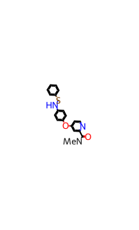 CNC(=O)c1cc(Oc2ccc(NSc3ccccc3)cc2)ccn1